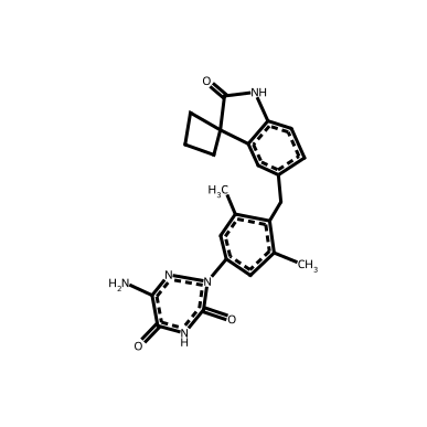 Cc1cc(-n2nc(N)c(=O)[nH]c2=O)cc(C)c1Cc1ccc2c(c1)C1(CCC1)C(=O)N2